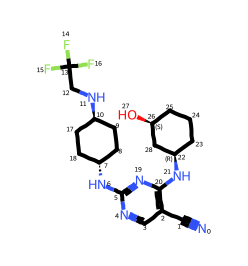 N#Cc1cnc(N[C@H]2CC[C@H](NCC(F)(F)F)CC2)nc1N[C@@H]1CCC[C@H](O)C1